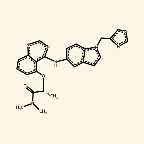 C[C@@H](Oc1cccc2ncnc(Nc3ccc4c(ccn4Cc4cscn4)c3)c12)C(=O)N(C)C